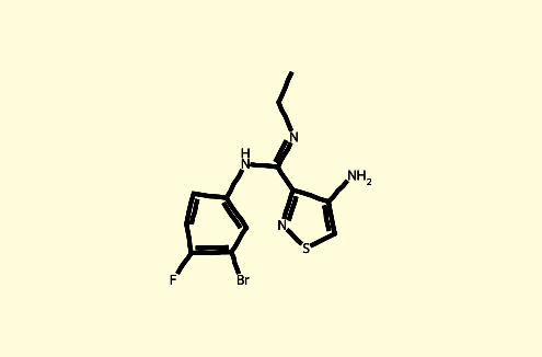 CC/N=C(\Nc1ccc(F)c(Br)c1)c1nscc1N